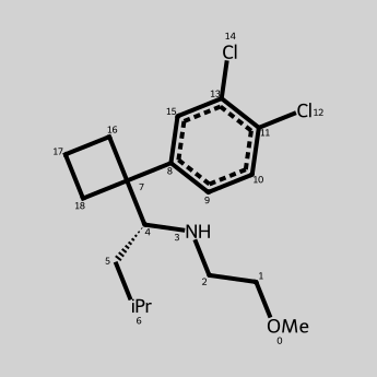 COCCN[C@H](CC(C)C)C1(c2ccc(Cl)c(Cl)c2)CCC1